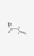 C=CC[C@H](C)CC